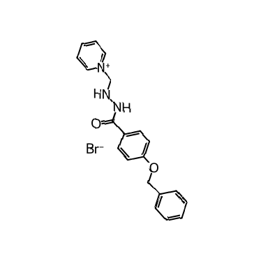 O=C(NNC[n+]1ccccc1)c1ccc(OCc2ccccc2)cc1.[Br-]